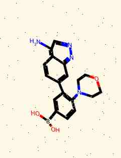 Nc1cnnc2cc(-c3cc(B(O)O)ccc3N3CCOCC3)ccc12